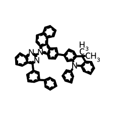 CC1(C)c2ccccc2N(c2ccccc2)c2cc(-c3ccc4c(c3)c3c5ccccc5ccc3n4-c3nc(-c4cccc(-c5ccccc5)c4)c4ccccc4n3)ccc21